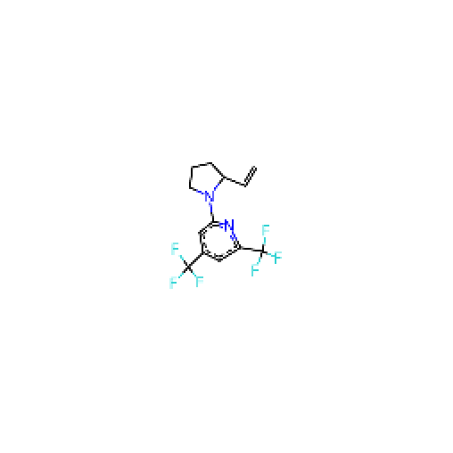 C=CC1CCCN1c1cc(C(F)(F)F)cc(C(F)(F)F)n1